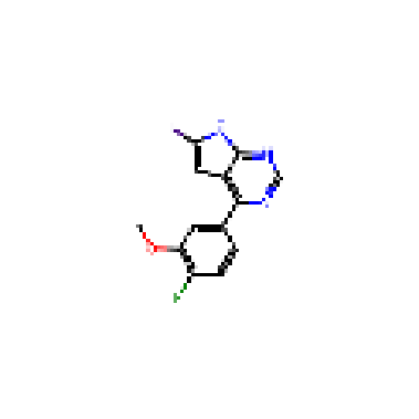 COc1cc(-c2ncnc3[nH]c(I)cc23)ccc1F